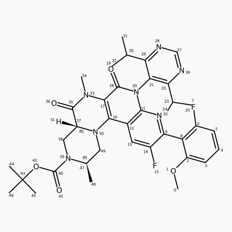 COc1cccc(F)c1-c1nc2c(cc1F)c1c(c(=O)n2-c2c(C(C)C)ncnc2C(C)C)N(C)C(=O)[C@H]2CN(C(=O)OC(C)(C)C)[C@H](C)CN12